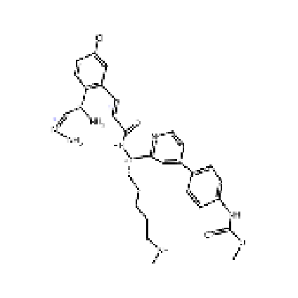 CNCCCCC[C@H](NC(=O)/C=C/c1cc(Cl)ccc1N(N)/C=N\N)c1cc(-c2ccc(NC(=O)OC)cc2)ccn1